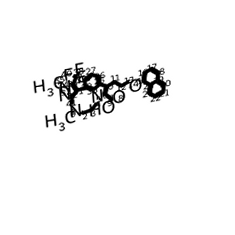 CN1CCCn2c(C(=O)O)c(CCCOc3cccc4ccccc34)c3cccc(c32)-c2c(nn(C)c2C(F)(F)F)C1